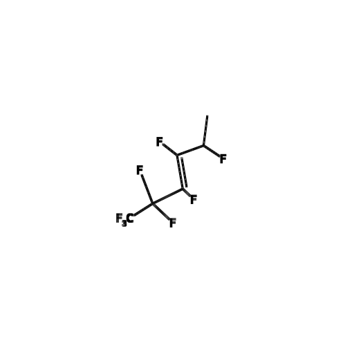 CC(F)C(F)=C(F)C(F)(F)C(F)(F)F